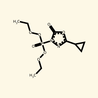 CCOOP(=O)(OOCC)n1nc(C2CC2)oc1=O